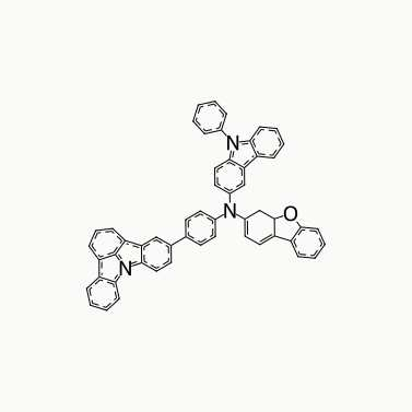 C1=C2c3ccccc3OC2CC(N(c2ccc(-c3ccc4c(c3)c3cccc5c6ccccc6n4c53)cc2)c2ccc3c(c2)c2ccccc2n3-c2ccccc2)=C1